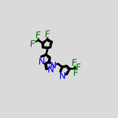 Fc1ccc(-c2cnc3cnn(Cc4cncc(C(F)(F)F)c4)c3c2)cc1C(F)F